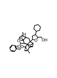 CC(C)C1=CC2CC34C(O)OC[C@@H](C)[C@@H](CC2(C2CC(C5CCCCC5)C(CO)O2)C13C(=O)OCc1ccccc1)[C@H]4C